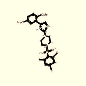 COc1ccc(OC)c(-c2csc(N3CCN(S(=O)(=O)c4c(C)cc(C)cc4C)CC3)n2)c1